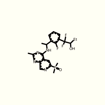 CCC(O)C(F)(F)c1cccc(C(C)Nc2nc(C)nc3cnc(P(C)(C)=O)cc23)c1F